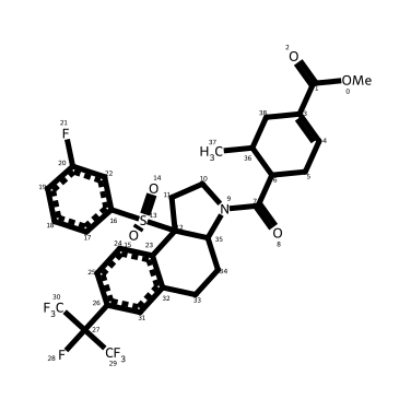 COC(=O)C1=CCC(C(=O)N2CCC3(S(=O)(=O)c4cccc(F)c4)c4ccc(C(F)(C(F)(F)F)C(F)(F)F)cc4CCC23)C(C)C1